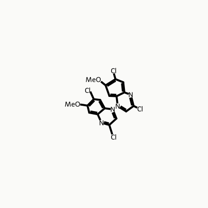 COc1cc2nc(Cl)cnc2cc1Cl.COc1cc2ncc(Cl)nc2cc1Cl